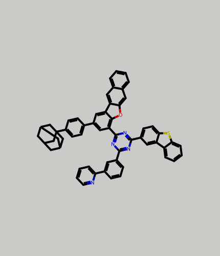 c1ccc(-c2cccc(-c3nc(-c4ccc5sc6ccccc6c5c4)nc(-c4cc(-c5ccc(C67CC8CC(CC(C8)C6)C7)cc5)cc5c4oc4cc6ccccc6cc45)n3)c2)nc1